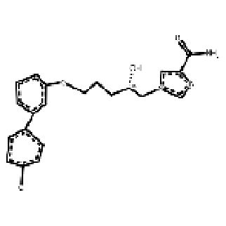 NC(=O)c1cn(C[C@@H](O)CCCOc2cccc(-c3ccc(Cl)cc3)c2)cn1